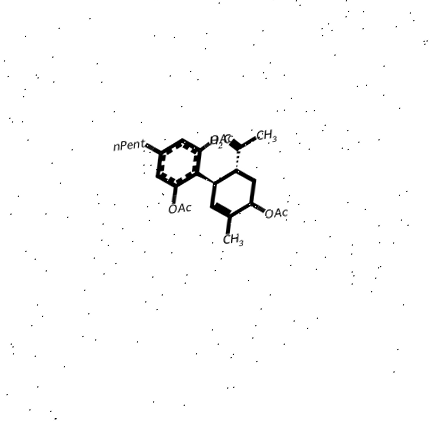 C=C(C)[C@@H]1CC(OC(C)=O)C(C)=C[C@H]1c1c(OC(C)=O)cc(CCCCC)cc1OC(C)=O